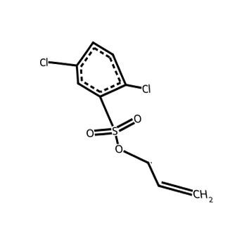 C=C[CH]OS(=O)(=O)c1cc(Cl)ccc1Cl